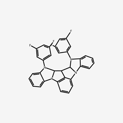 Fc1cc(F)cc(N2c3ccccc3N3c4cccc5c4C(C23)C2N(c3cc(F)cc(F)c3)c3ccccc3N52)c1